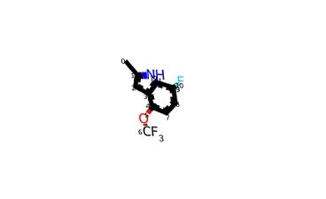 Cc1cc2c(OC(F)(F)F)ccc(F)c2[nH]1